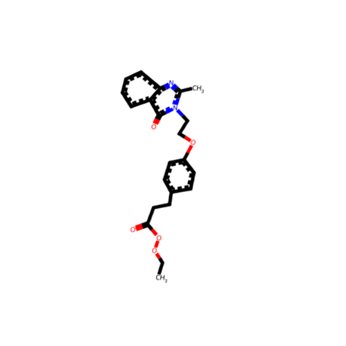 CCOOC(=O)CCc1ccc(OCCn2c(C)nc3ccccc3c2=O)cc1